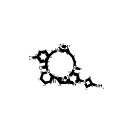 CN1CCc2cn(nn2)Cc2ccc(Cl)cc2C(=O)N2CCCC[C@H]2c2cc3nc(N4CC(N)C4)cc1n3n2